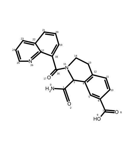 NC(=O)C1c2cc(C(=O)O)ccc2CCN1C(=O)c1cccc2cccnc12